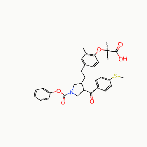 CSc1ccc(C(=O)C2CN(C(=O)Oc3ccccc3)CC2CCc2ccc(OC(C)(C)C(=O)O)c(C)c2)cc1